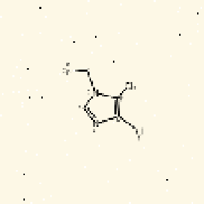 CC(C)Cn1cnc(Cl)c1Cl